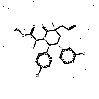 C=CC[C@@]1(C)C[C@H](c2cccc(Cl)c2)[C@@H](c2ccc(Cl)cc2)N(C(CC)C(=O)OC(C)(C)C)C1=O